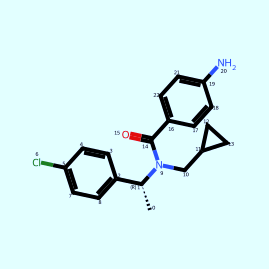 C[C@H](c1ccc(Cl)cc1)N(CC1CC1)C(=O)c1ccc(N)cc1